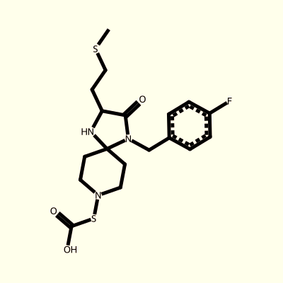 CSCCC1NC2(CCN(SC(=O)O)CC2)N(Cc2ccc(F)cc2)C1=O